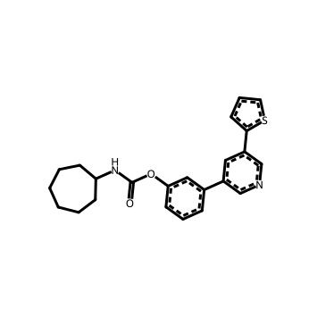 O=C(NC1CCCCCC1)Oc1cccc(-c2cncc(-c3cccs3)c2)c1